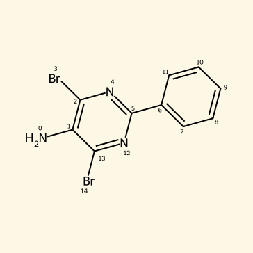 Nc1c(Br)nc(-c2ccccc2)nc1Br